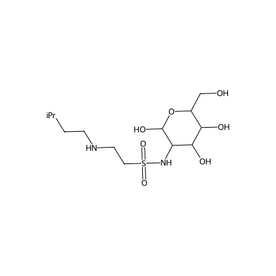 CC(C)CCNCCS(=O)(=O)NC1C(O)OC(CO)C(O)C1O